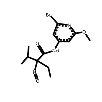 CCC(N=O)(C(=O)Nc1cc(Br)nc(OC)c1)C(C)C